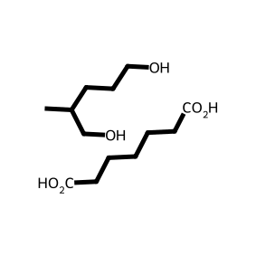 CC(CO)CCCO.O=C(O)CCCCCC(=O)O